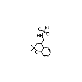 CCS(=O)(=O)NCC1CC(C)(C)OC2C=CI=CC12